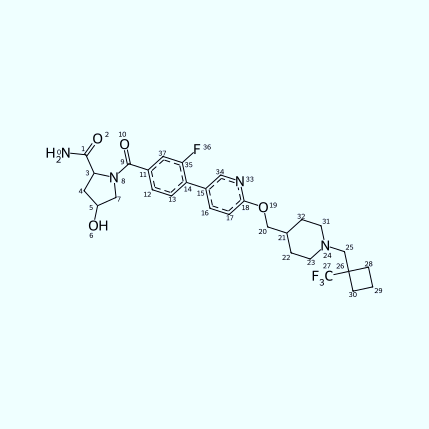 NC(=O)C1CC(O)CN1C(=O)c1ccc(-c2ccc(OCC3CCN(CC4(C(F)(F)F)CCC4)CC3)nc2)c(F)c1